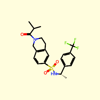 CC(C)C(=O)N1CCc2cc(S(=O)(=O)N[C@@H](C)c3ccc(C(F)(F)F)cc3)ccc2C1